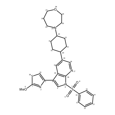 COc1nc(-c2cn(S(=O)(=O)c3ccccc3)c3ncc(C4CCC(N5CCCOCC5)CC4)cc23)cs1